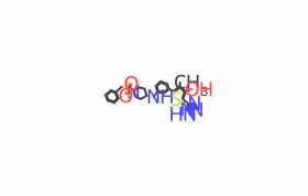 Cc1c(-c2cccc(NC3CCN(S(=O)(=O)Cc4ccccc4)CC3)c2)sc(-c2nn[nH]n2)c1O